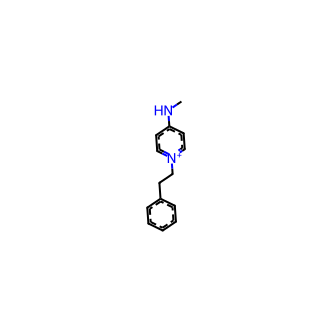 CNc1cc[n+](CCc2ccccc2)cc1